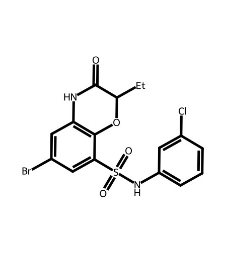 CCC1Oc2c(cc(Br)cc2S(=O)(=O)Nc2cccc(Cl)c2)NC1=O